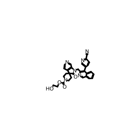 N#Cc1ccc(-c2c(CN3C(=O)C4(CCN(C(=O)OCCO)CC4)c4ccncc43)ncc3ccccc23)cn1